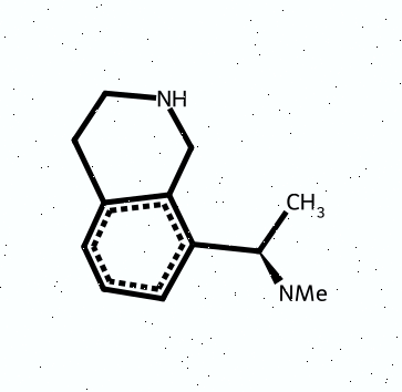 CN[C@H](C)c1cccc2c1CNCC2